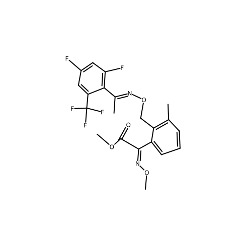 CO/N=C(/C(=O)OC)c1cccc(C)c1CO/N=C(\C)c1c(F)cc(F)cc1C(F)(F)F